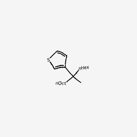 CCCCCCCCC(C)(CCCCCC)c1ccsc1